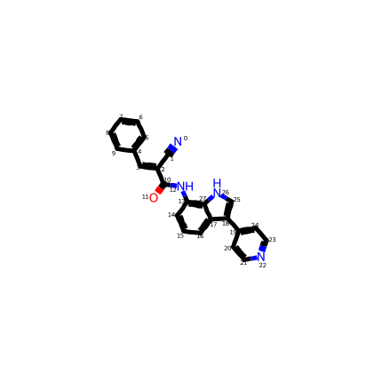 N#CC(=Cc1ccccc1)C(=O)Nc1cccc2c(-c3ccncc3)c[nH]c12